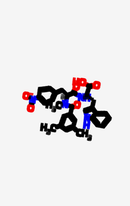 Cc1cc(C)cc(C(=O)N(C)[C@@H](Cc2ccc([N+](=O)[O-])cc2)C(=O)N[C@@H](Cc2c[nH]c3ccccc23)C(=O)O)c1